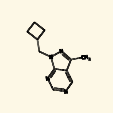 Cc1nn(CC2CCC2)c2ncncc12